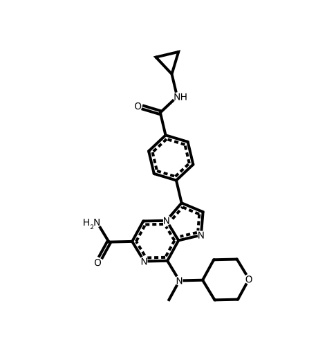 CN(c1nc(C(N)=O)cn2c(-c3ccc(C(=O)NC4CC4)cc3)cnc12)C1CCOCC1